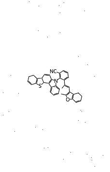 C/C(=C\c1c(C)oc2c1CCC=C2)c1cccc(C#N)c1-n1c2c(c3ccccc31)C1SC3=C(CCC=C3)C1C=C2